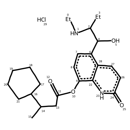 CCNC(CC)C(O)c1ccc(OC(=O)CC(C)C2CCCCC2)c2[nH]c(=O)ccc12.Cl